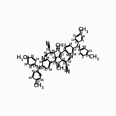 Cc1ccc(N(c2ccc(C)cc2)c2ccc(-c3c4c(=C(C#N)C#N)n(C)c(-c5ccc(N(c6ccc(C)cc6)c6ccc(C)cc6)cc5)c4c(=C(C#N)C#N)n3C)cc2)cc1